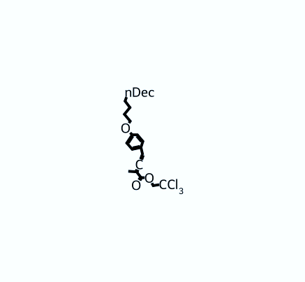 CCCCCCCCCCCCCCOc1ccc(C=C=C(C)C(=O)OCC(Cl)(Cl)Cl)cc1